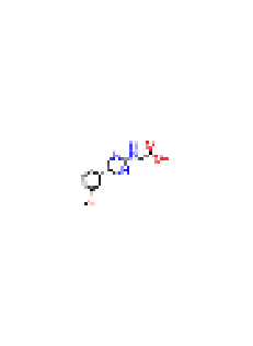 COc1cccc(-c2cnc(NCC(=O)O)nc2)c1